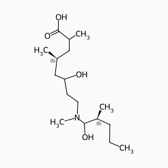 CCC[C@H](C)C(O)N(C)CCC(O)C[C@@H](C)CC(C)C(=O)O